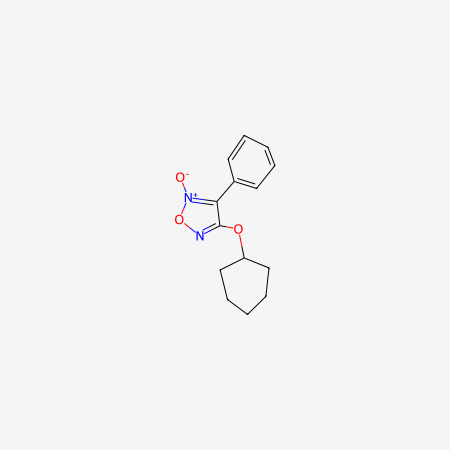 [O-][n+]1onc(OC2CCCCC2)c1-c1ccccc1